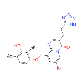 CCCc1c(OCc2cc(Br)cn3c(=O)c(CCc4nnn[nH]4)cnc23)ccc(C(C)=O)c1O